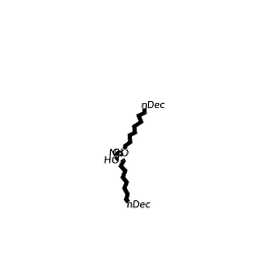 CCCCCCCCCCCCCCCCCCOP(=O)(O)CCCCCCCCCCCCCCCCCC.[Nd]